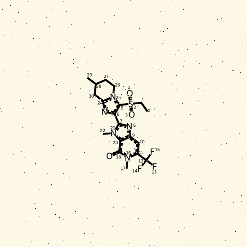 CCS(=O)(=O)c1c(-c2nc3cc(C(F)(F)F)n(C)c(=O)c3n2C)nc2n1CCC(C)C2